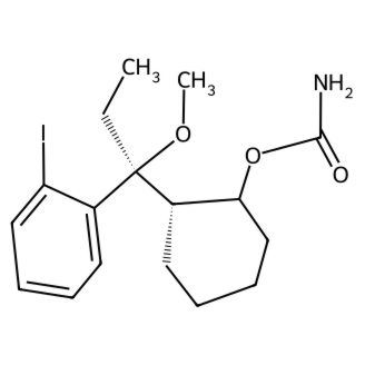 CC[C@@](OC)(c1ccccc1I)[C@H]1CCCCC1OC(N)=O